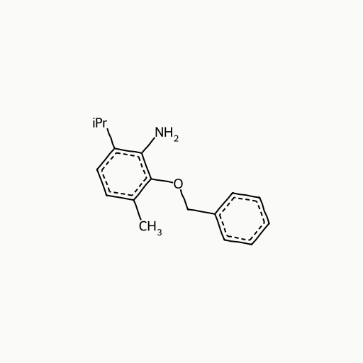 Cc1ccc(C(C)C)c(N)c1OCc1ccccc1